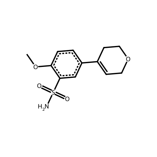 COc1ccc(C2=CCOCC2)cc1S(N)(=O)=O